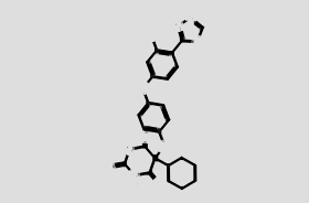 O=C1NC(=O)C(Oc2ccc(Oc3ccc(-c4nnco4)c(F)c3)cc2)(C2CCCCC2)C(=O)N1